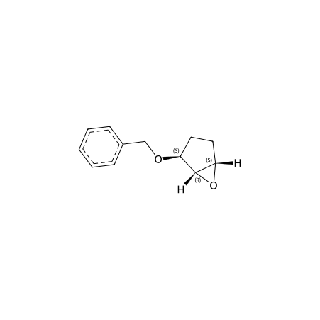 c1ccc(CO[C@H]2CC[C@@H]3O[C@H]23)cc1